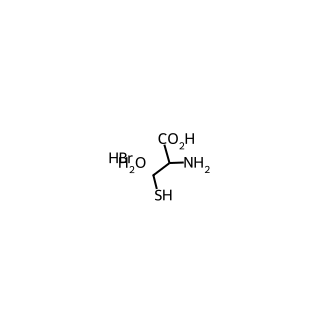 Br.NC(CS)C(=O)O.O